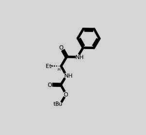 CC[C@@H](NC(=O)OC(C)(C)C)C(=O)Nc1ccccc1